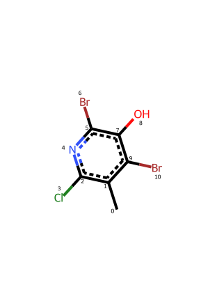 Cc1c(Cl)nc(Br)c(O)c1Br